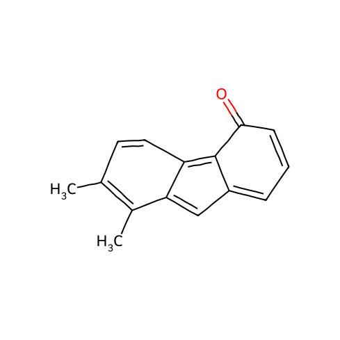 Cc1ccc2c(c1C)=CC1=CC=CC(=O)C=21